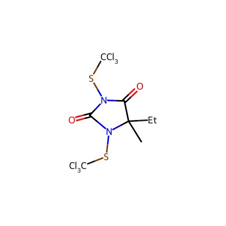 CCC1(C)C(=O)N(SC(Cl)(Cl)Cl)C(=O)N1SC(Cl)(Cl)Cl